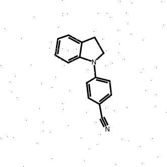 N#Cc1ccc(N2CCc3ccccc32)cc1